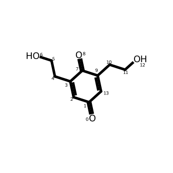 O=C1C=C(CCO)C(=O)C(CCO)=C1